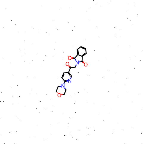 O=C(CN1C(=O)c2ccccc2C1=O)c1ccc(N2CCOCC2)nc1